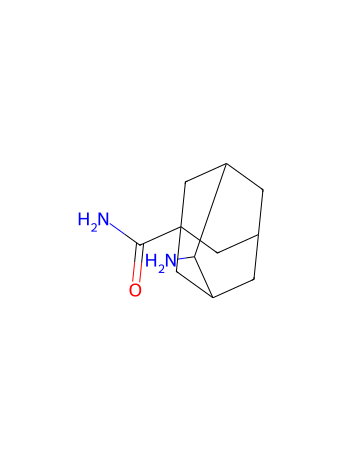 NC(=O)C12CC3CC(C1)C(N)C(C3)C2